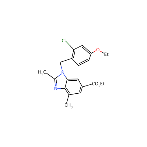 CCOC(=O)c1cc(C)c2nc(C)n(Cc3ccc(OCC)cc3Cl)c2c1